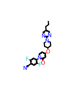 CCCc1cnc(N2CCC(Oc3ccn(-c4cc(F)c(C#N)cc4F)c(=O)c3)CC2)nc1